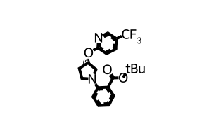 CC(C)(C)OC(=O)c1ccccc1N1CC[C@H](Oc2ccc(C(F)(F)F)cn2)C1